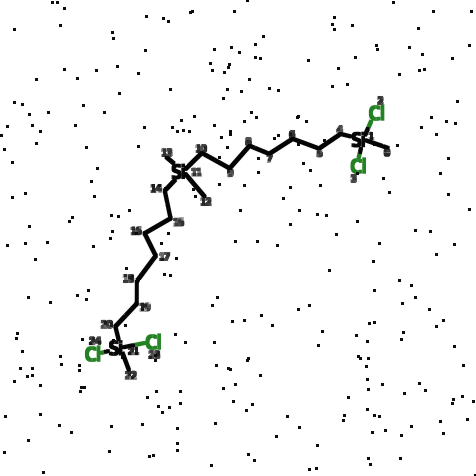 C[Si](Cl)(Cl)CCCCCCC[Si](C)(C)CCCCCCC[Si](C)(Cl)Cl